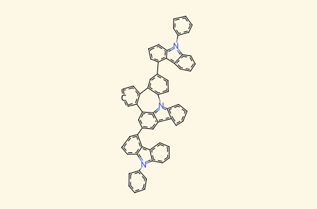 c1ccc(-n2c3ccccc3c3c(-c4ccc5c(c4)-c4ccccc4-c4cc(-c6cccc7c6c6ccccc6n7-c6ccccc6)cc6c7ccccc7n-5c46)cccc32)cc1